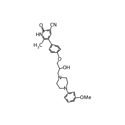 COc1cccc(N2CCN(CC(O)COc3ccc(-c4cc(C#N)c(=O)[nH]c4C)cc3)CC2)c1